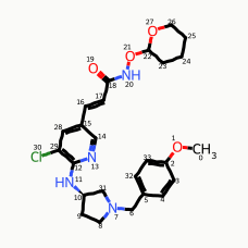 COc1ccc(CN2CC[C@@H](Nc3ncc(C=CC(=O)NOC4CCCCO4)cc3Cl)C2)cc1